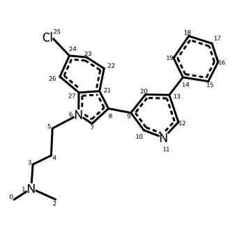 CN(C)CCCn1cc(-c2cncc(-c3ccccc3)c2)c2ccc(Cl)cc21